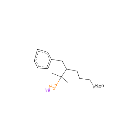 CCCCCCCCCCCCC(Cc1ccccc1)C(C)(C)P.I